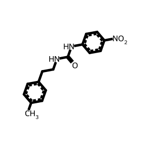 Cc1ccc(CCNC(=O)Nc2ccc([N+](=O)[O-])cc2)cc1